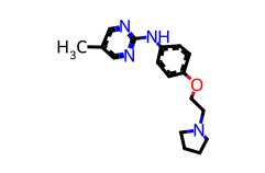 Cc1cnc(Nc2ccc(OCCN3CCCC3)cc2)nc1